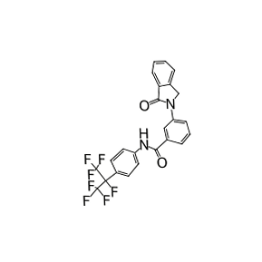 O=C(Nc1ccc(C(F)(C(F)(F)F)C(F)(F)F)cc1)c1cccc(N2Cc3ccccc3C2=O)c1